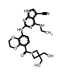 CCNc1nc(Nc2ccc(C(=O)N3CC(CO)(CO)C3)c3c2OCCO3)nc2[nH]cc(C#N)c12